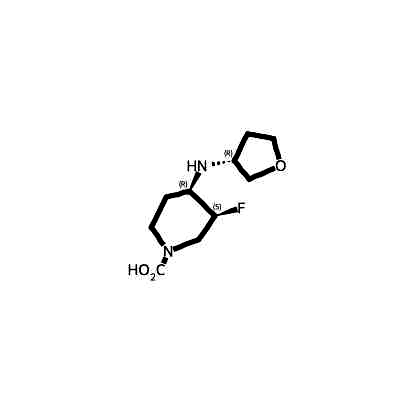 O=C(O)N1CC[C@@H](N[C@@H]2CCOC2)[C@@H](F)C1